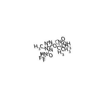 CCn1c(C(=O)NCC(F)(F)F)nc2c(OC3CCN(C(=O)O)C3C(C)(C)C)ncnc21